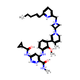 CCCC=Cc1cccc(CN2CC(N3C=C(c4cccc(Nc5cc(NC(=O)C6CC6)nnc5C(=O)NC)c4OC)C(C)=CC3)C2)n1